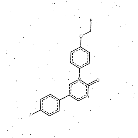 O=c1ncc(-c2ccc(F)cc2)cn1-c1ccc(OCF)cc1